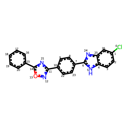 Clc1ccc2[nH]c(-c3ccc(-c4noc(-c5ccccc5)n4)cc3)nc2c1